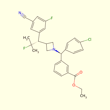 CCOC(=O)c1cccc([C@H](c2ccc(Cl)cc2)N2CC([C@@H](c3cc(F)cc(C#N)c3)C(C)(C)F)C2)c1